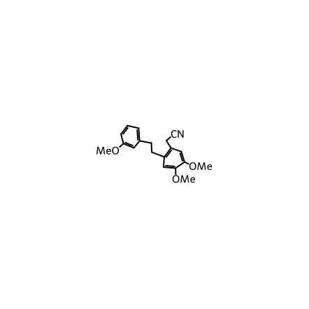 COc1cccc(CCc2cc(OC)c(OC)cc2CC#N)c1